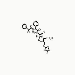 Cc1nnc(SCC2=C(C(=O)O)N3C(=O)C(NC(=O)[C@@H](NC(=O)C(O)c4ccccc4)c4ccccc4)[C@@H]3SC2)s1